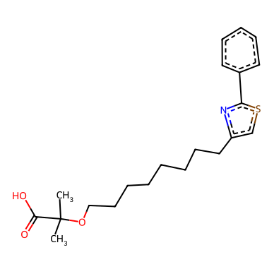 CC(C)(OCCCCCCCCc1csc(-c2ccccc2)n1)C(=O)O